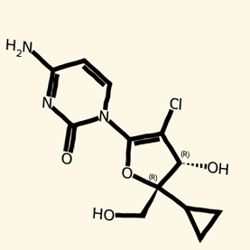 Nc1ccn(C2=C(Cl)[C@H](O)[C@](CO)(C3CC3)O2)c(=O)n1